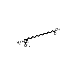 Cc1nc(CCCCCCCCCCCCCC(=O)O)cn1C